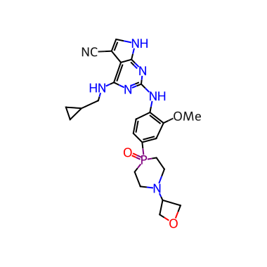 COc1cc(P2(=O)CCN(C3COC3)CC2)ccc1Nc1nc(NCC2CC2)c2c(C#N)c[nH]c2n1